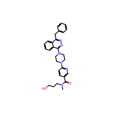 CN(CCCO)C(=O)c1ccc(N2CCN(c3nnc(Cc4ccccc4)c4ccccc34)CC2)nc1